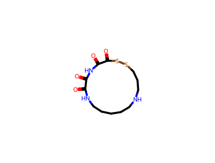 O=C1NCCCCCNCCCSSC(=O)C(=O)NC1=O